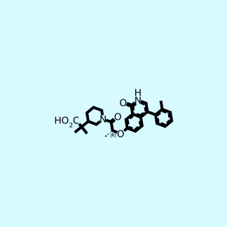 Cc1ccccc1-c1c[nH]c(=O)c2cc(O[C@H](C)C(=O)N3CCCC(C(C)(C)C(=O)O)C3)ccc12